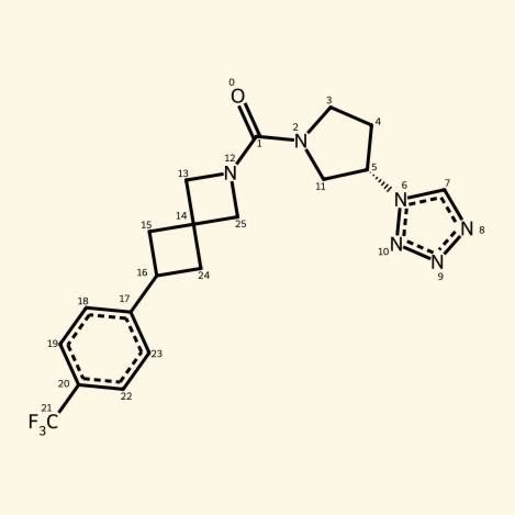 O=C(N1CC[C@H](n2cnnn2)C1)N1CC2(CC(c3ccc(C(F)(F)F)cc3)C2)C1